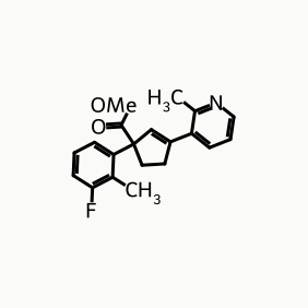 COC(=O)C1(c2cccc(F)c2C)C=C(c2cccnc2C)CC1